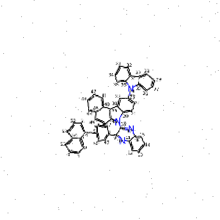 c1ccc2c(-c3ccc(-c4nc5ccccc5nc4-n4c5ccc(-n6c7ccccc7c7ccccc76)cc5c5c6ccccc6ccc54)cc3)cccc2c1